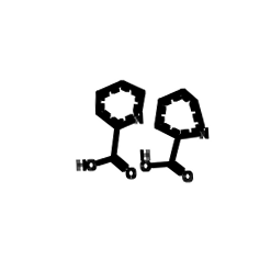 O=C(O)c1ccccn1.O=C(O)c1ccccn1